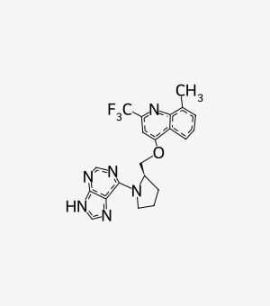 Cc1cccc2c(OC[C@H]3CCCN3c3ncnc4[nH]cnc34)cc(C(F)(F)F)nc12